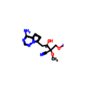 COC(C#N)(COI)[C@@H](O)Cc1ccc2c(N)ncnn12